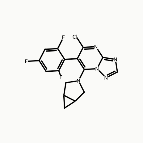 Fc1cc(F)c(-c2c(Cl)nc3ncnn3c2N2CC3CC3C2)c(F)c1